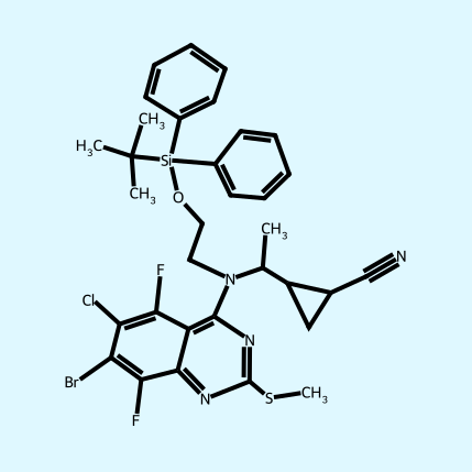 CSc1nc(N(CCO[Si](c2ccccc2)(c2ccccc2)C(C)(C)C)C(C)C2CC2C#N)c2c(F)c(Cl)c(Br)c(F)c2n1